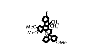 COc1ccc(C2(c3ccccc3)C=Cc3c4c(c5cc(OC)c(OC)cc5c3O2)-c2ccc(F)cc2C4(C)C)cc1